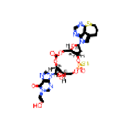 O=C1OC[C@H]2O[C@@H](n3cc4c5c(ncnc53)SCCC4)C[C@@H]2OP(=O)(S)OC[C@H]2O[C@@H](n3cnc4c(=O)n(CCO)cnc43)[C@H](O1)[C@@H]2O